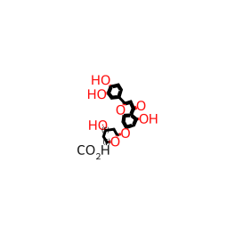 O=C(O)[C@@H]1C[C@H](O)CC(Oc2cc(O)c3c(=O)cc(-c4ccc(O)c(O)c4)oc3c2)O1